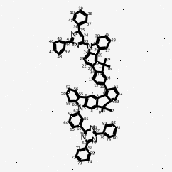 CC1(C)c2cc3c(cc2-c2c(-c4ccc5c(c4)C(C)(C)c4c-5ccc5c4c4ccccc4n5-c4cc(-c5ccccc5)nc(-c5ccccc5)n4)cccc21)c1ccccc1n3-c1cccc(-c2nc(-c3ccccc3)nc(-c3ccccc3)n2)c1